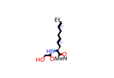 CC/C=C/CC/C=C/C[C@H](NC(=O)CO)C(=O)NC